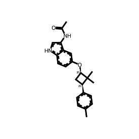 CC(=O)Nc1c[nH]c2ccc(O[C@@H]3C[C@H](c4ccc(C)cc4)C3(C)C)cc12